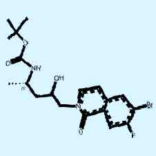 C[C@@H](CC(O)Cn1ccc2cc(Br)c(F)cc2c1=O)NC(=O)OC(C)(C)C